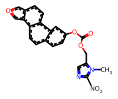 Cn1c(COC(=O)Oc2ccc3ccc4c5cocc5ccc4c3c2)cnc1[N+](=O)[O-]